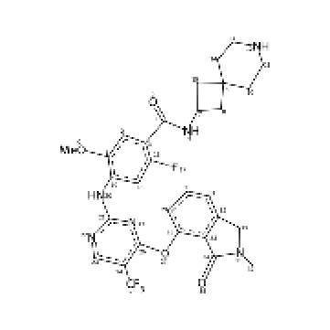 COc1cc(C(=O)NC2CC3(CCNCC3)C2)c(F)cc1Nc1ncc(C(F)(F)F)c(Oc2cccc3c2C(=O)N(C)C3)n1